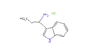 Cl.NC(CC(=O)O)c1c[nH]c2ccccc12